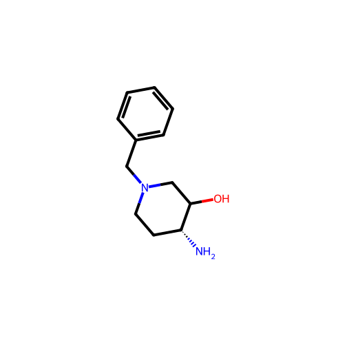 N[C@@H]1CCN(Cc2ccccc2)CC1O